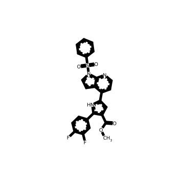 COC(=O)c1cc(-c2ccnc3c2ccn3S(=O)(=O)c2ccccc2)[nH]c1-c1ccc(F)c(F)c1